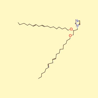 CCCCCC=CCC=CCCCCCCCCOCC(Cn1ccnc1)OCCCCCCCCC=CCC=CCCCCC